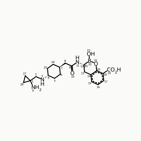 NC1(CN[C@H]2CC[C@H](CC(=O)N[C@H]3Cc4cccc(C(=O)O)c4OB3O)CC2)CC1